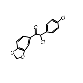 O=C(c1ccc2c(c1)OCO2)C(Cl)c1ccc(Cl)cc1